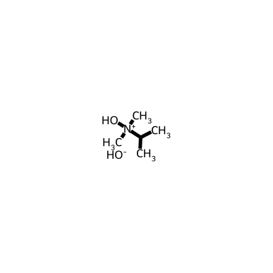 CC(C)[N+](C)(C)O.[OH-]